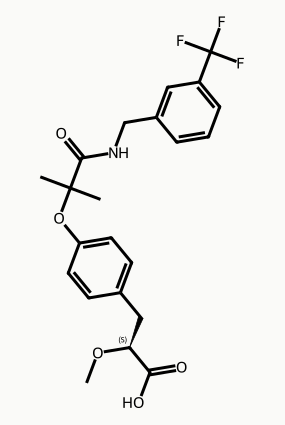 CO[C@@H](Cc1ccc(OC(C)(C)C(=O)NCc2cccc(C(F)(F)F)c2)cc1)C(=O)O